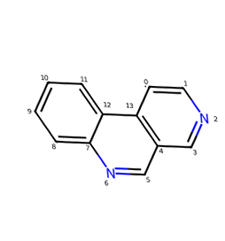 [c]1cncc2cnc3ccccc3c12